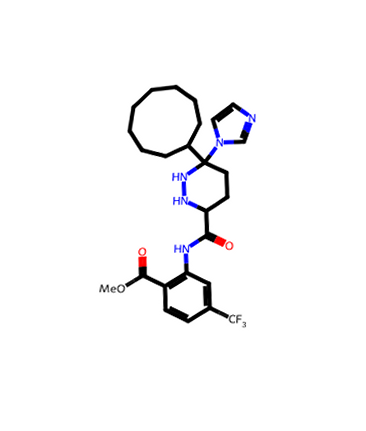 COC(=O)c1ccc(C(F)(F)F)cc1NC(=O)C1CCC(C2CCCCCCCC2)(n2ccnc2)NN1